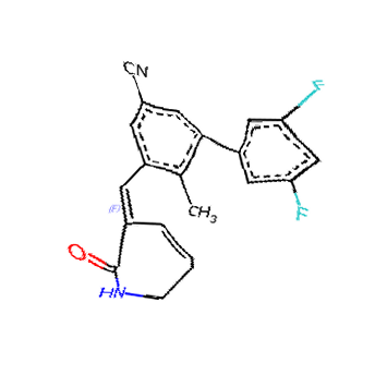 Cc1c(/C=C2\C=CCNC2=O)cc(C#N)cc1-c1cc(F)cc(F)c1